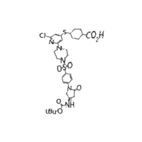 CC(C)(C)OC(=O)N[C@@H]1CC(=O)N(c2ccc(S(=O)(=O)N3CCN(c4cc(SC5CCC(C(=O)O)CC5)cc(Cl)n4)CC3)cc2)C1